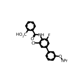 CCCOc1cccc(-c2cc(F)c(NC(=O)c3ccccc3C(=O)O)c(Cl)c2)c1